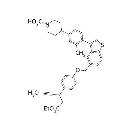 CC#CC(CC(=O)OCC)c1ccc(OCc2ccc3scc(-c4ccc(C5CCN(C(=O)O)CC5)cc4C)c3c2)cc1